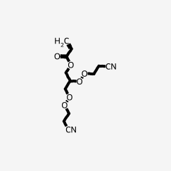 C=CC(=O)OCC(COOCCC#N)OOCCC#N